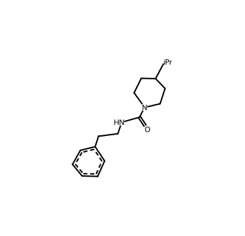 CC(C)C1CCN(C(=O)NCCc2ccccc2)CC1